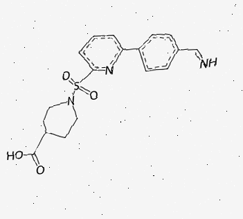 N=Cc1ccc(-c2cccc(S(=O)(=O)N3CCC(C(=O)O)CC3)n2)cc1